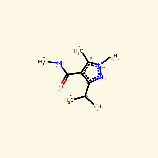 CNC(=O)c1c(C(C)C)nn(C)c1C